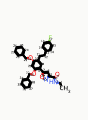 CCNC(=O)c1cc(-c2cc(CCc3ccc(F)cc3)c(OCc3ccccc3)cc2OCc2ccccc2)on1